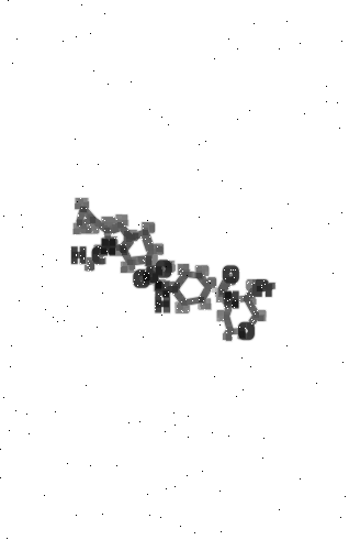 CC(C)C1COCCN1C(=O)[C@H]1CC[C@H](NS(=O)(=O)c2ccc3cc(C4CC4)n(C)c3c2)CC1